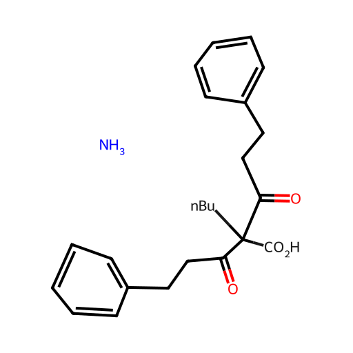 CCCCC(C(=O)O)(C(=O)CCc1ccccc1)C(=O)CCc1ccccc1.N